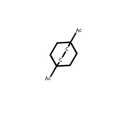 CC(=O)C12CCC(C(C)=O)(CC1)CC2